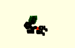 CP(C)CC(C1=[C]([Ti])CC=C1)C(C)(C)C.Cl.Cl.Cl